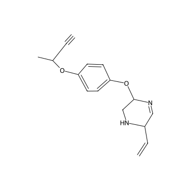 C#CC(C)Oc1ccc(OC2CNC(C=C)C=N2)cc1